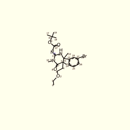 CCOCCC1(C)C(=O)N(C)/C(=N/C(=O)OC(C)(C)C)NC1(C)c1cccc(Br)c1